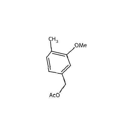 COc1cc(COC(C)=O)ccc1C